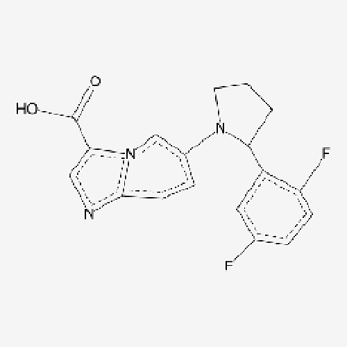 O=C(O)c1cnc2ccc(N3CCCC3c3cc(F)ccc3F)cn12